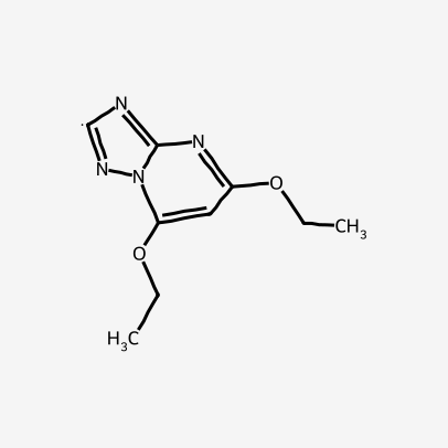 CCOc1cc(OCC)n2n[c]nc2n1